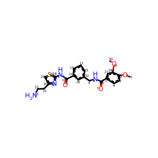 COc1ccc(C(=O)NCc2cccc(C(=O)Nc3nc(CCN)cs3)c2)cc1OC